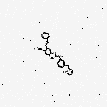 C#Cc1cc2cnc(Nc3cccc(CN4C=NCN4)c3)nc2cc1OCc1cccnc1